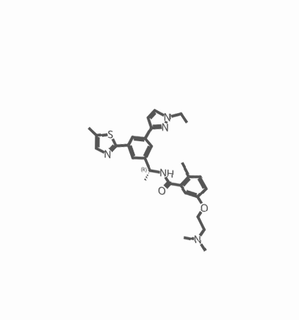 CCn1ccc(-c2cc(-c3ncc(C)s3)cc([C@@H](C)NC(=O)c3cc(OCCN(C)C)ccc3C)c2)n1